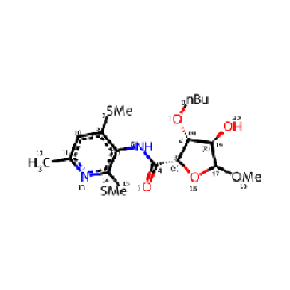 CCCCO[C@H]1[C@@H](C(=O)Nc2c(SC)cc(C)nc2SC)OC(OC)[C@@H]1O